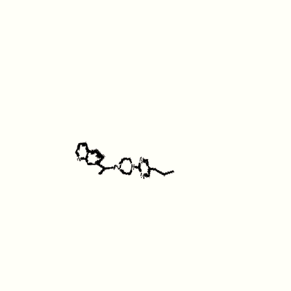 C[CH]Cc1cnc(N2CCN(C(C)c3ccc4cccnc4c3)CC2)nc1